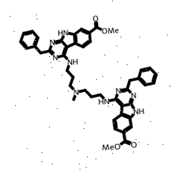 COC(=O)c1ccc2c(c1)[nH]c1nc(Cc3ccccc3)nc(NCCCN(C)CCCNc3nc(Cc4ccccc4)nc4[nH]c5cc(C(=O)OC)ccc5c34)c12